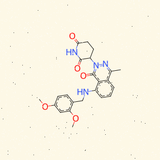 COc1ccc(CNc2cccc3c(C)nn(C4CCC(=O)NC4=O)c(=O)c23)c(OC)c1